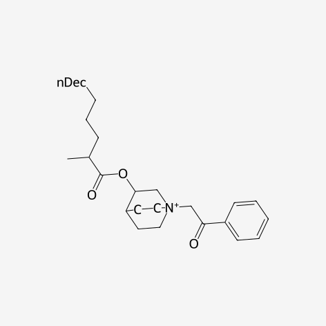 CCCCCCCCCCCCCC(C)C(=O)OC1C[N+]2(CC(=O)c3ccccc3)CCC1CC2